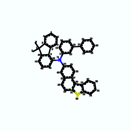 CC1(C)c2ccccc2-c2c(N(c3cccc(-c4ccccc4)c3)c3ccc4c(ccc5sc6ccccc6c54)c3)cccc21